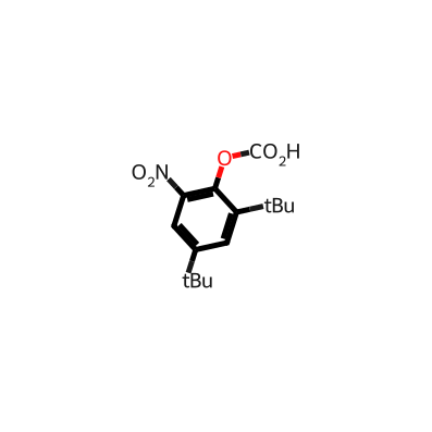 CC(C)(C)c1cc([N+](=O)[O-])c(OC(=O)O)c(C(C)(C)C)c1